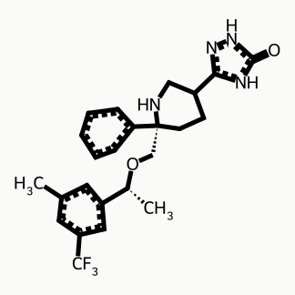 Cc1cc([C@@H](C)OC[C@@]2(c3ccccc3)CCC(c3n[nH]c(=O)[nH]3)CN2)cc(C(F)(F)F)c1